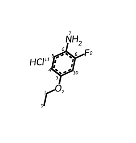 CCOc1ccc(N)c(F)c1.Cl